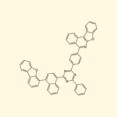 c1ccc(-c2nc(-c3ccc(-c4nc5oc6ccccc6c5c5ccccc45)cc3)nc(-c3ccc(-c4cccc5c4oc4ccccc45)c4ccccc34)n2)cc1